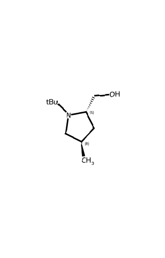 C[C@@H]1C[C@@H](CO)N(C(C)(C)C)C1